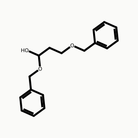 OC(CCOCc1ccccc1)OCc1ccccc1